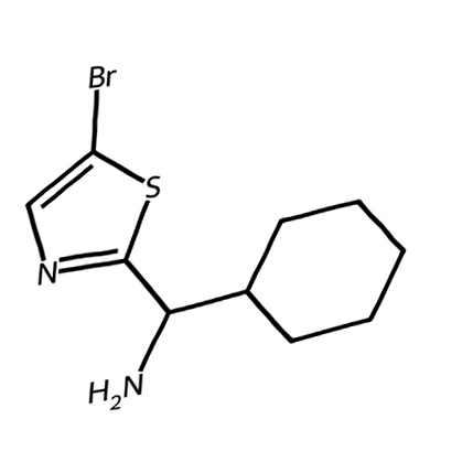 NC(c1ncc(Br)s1)C1CCCCC1